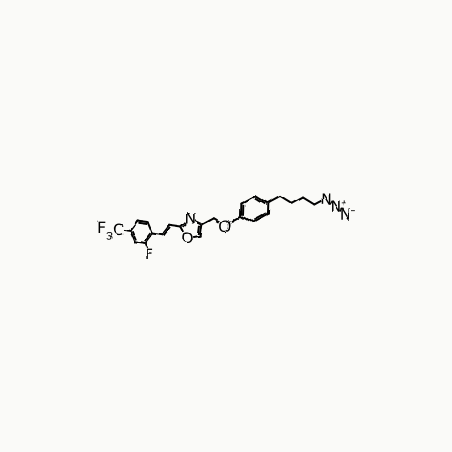 [N-]=[N+]=NCCCCc1ccc(OCc2coc(/C=C/c3ccc(C(F)(F)F)cc3F)n2)cc1